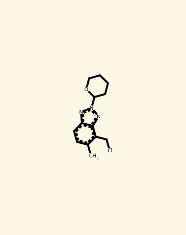 Cc1ccc2nn(C3CCCCO3)nc2c1CCl